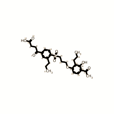 CCCc1cc(C(=O)CCC(=O)O)ccc1S(=O)(=O)CCCOc1ccc(C(C)=O)c(O)c1CCC